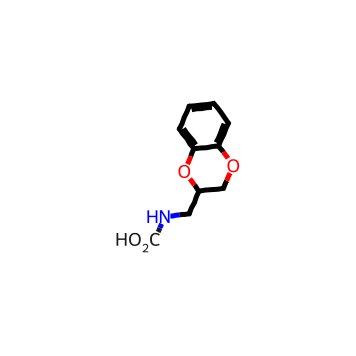 O=C(O)NCC1COc2ccccc2O1